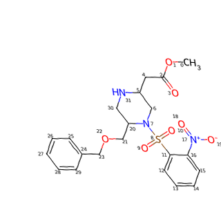 COC(=O)CC1CN(S(=O)(=O)c2ccccc2[N+](=O)[O-])C(COCc2ccccc2)CN1